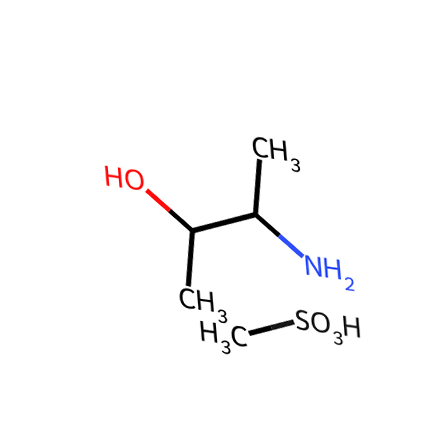 CC(N)C(C)O.CS(=O)(=O)O